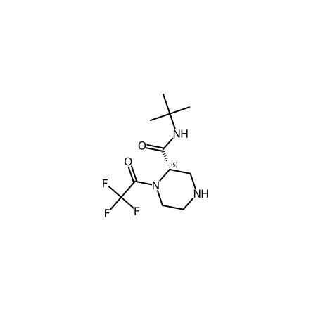 CC(C)(C)NC(=O)[C@@H]1CNCCN1C(=O)C(F)(F)F